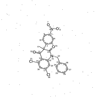 CC1(c2ccc([N+](=O)[O-])cc2)C(=O)c2c(Cl)cc(Cl)cc2N(Cc2ccccc2)C1=O